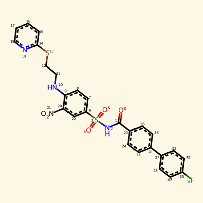 O=C(NS(=O)(=O)c1ccc(NCCSc2ccccn2)c([N+](=O)[O-])c1)c1ccc(-c2ccc(F)cc2)cc1